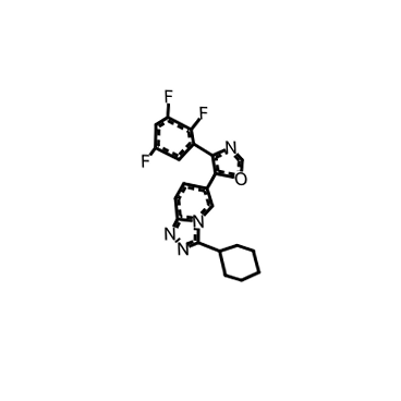 Fc1cc(F)c(F)c(-c2ncoc2-c2ccc3nnc(C4CCCCC4)n3c2)c1